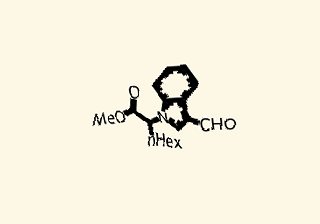 CCCCCCC(C(=O)OC)n1cc(C=O)c2ccccc21